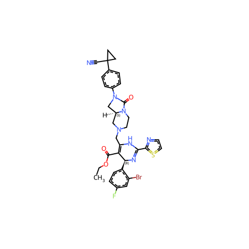 CCOC(=O)C1=C(CN2CCN3C(=O)N(c4ccc(C5(C#N)CC5)cc4)C[C@@H]3C2)NC(c2nccs2)=N[C@H]1c1ccc(F)cc1Br